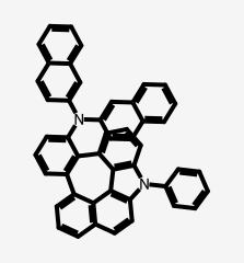 c1ccc(-n2c3cccc4c3c3c5c(cccc5ccc32)-c2cccc(N(c3ccc5ccccc5c3)c3ccc5ccccc5c3)c2-4)cc1